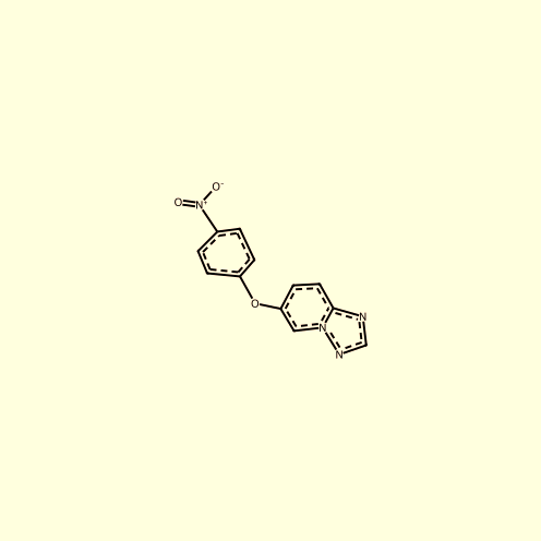 O=[N+]([O-])c1ccc(Oc2ccc3ncnn3c2)cc1